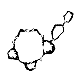 c1cc2cc(c1)-c1ccnc(n1)Nc1ccc(N3CCC(N4CCCC4)CC3)c(c1)OCCOCCO2